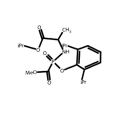 COC(=O)P(=O)(NC(C)C(=O)OC(C)C)Oc1c(C(C)C)cccc1C(C)C